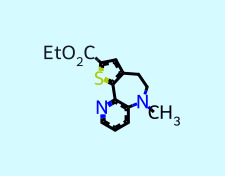 CCOC(=O)c1cc2c(s1)-c1ncccc1N(C)CC2